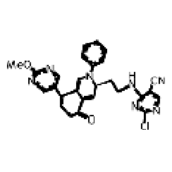 COc1ncc(C2=CCC(=O)C3=C[C@H](CCNc4nc(Cl)ncc4C#N)N(c4ccccc4)C=C32)cn1